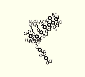 CC(C)(C)c1ccc(C(=O)Cl)cc1.CCCCCCCOc1ccc(C(=O)Cl)cc1.CCCCCCOc1ccc(C(=O)Cl)cc1.CCCCOc1ccc(C(=O)Cl)cc1.CCOc1ccc(C(=O)Cl)cc1.Cc1ccc(C(=O)Cl)cc1.Cl.O=C(Cl)c1ccc(-c2ccccc2)cc1.O=C(Cl)c1ccc(C(=O)Cl)cc1.O=C(Cl)c1ccc(C(F)(F)F)cc1